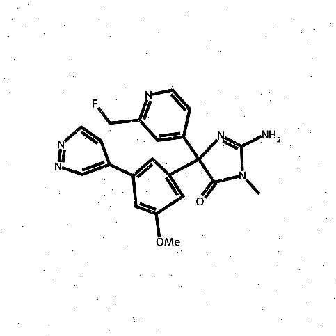 COc1cc(-c2ccnnc2)cc(C2(c3ccnc(CF)c3)N=C(N)N(C)C2=O)c1